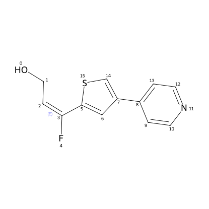 OC/C=C(/F)c1cc(-c2ccncc2)cs1